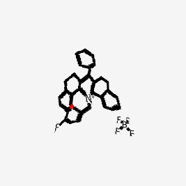 F[B-](F)(F)F.Fc1ccc(C[n+]2c3c(c(-c4ccccc4)c4c2-c2ccccc2CC4)CCc2ccccc2-3)cc1